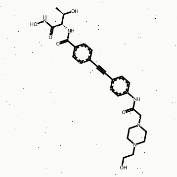 C[C@@H](O)[C@H](NC(=O)c1ccc(C#Cc2ccc(NC(=O)CN3CCN(CCO)CC3)cc2)cc1)C(=O)NO